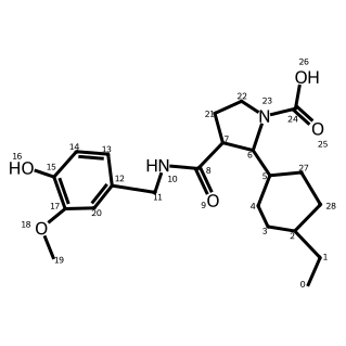 CCC1CCC(C2C(C(=O)NCc3ccc(O)c(OC)c3)CCN2C(=O)O)CC1